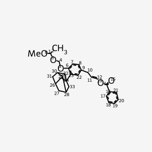 COC(C)OCOc1ccc(CC=COC(=O)c2ccccc2)cc1C12CC3CC(CC(C3)C1)C2